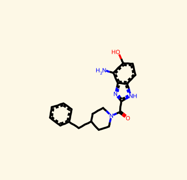 Nc1c(O)ccc2[nH]c(C(=O)N3CCC(Cc4ccccc4)CC3)nc12